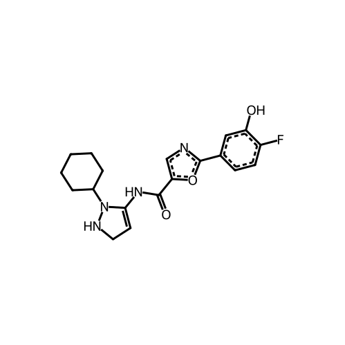 O=C(NC1=CCNN1C1CCCCC1)c1cnc(-c2ccc(F)c(O)c2)o1